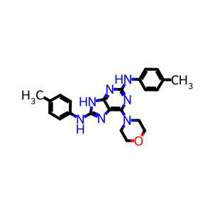 Cc1ccc(Nc2nc(N3CCOCC3)c3nc(Nc4ccc(C)cc4)[nH]c3n2)cc1